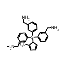 CC1=CC=C[C]1[Si](c1cccc(CN)c1)(c1cccc(CN)c1)c1cccc(CN)c1